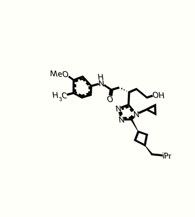 COc1cc(NC(=O)C[C@H](CCO)c2nnc([C@H]3C[C@@H](CC(C)C)C3)n2C2CC2)ccc1C